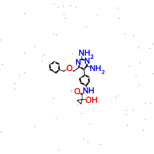 Nc1nc(N)c(-c2ccc(NC(=O)C3(O)CC3)cc2)c(COCc2ccccc2)n1